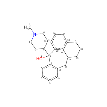 CN1CCC(C2(O)c3ccccc3CC3CCCc4cccc2c43)CC1